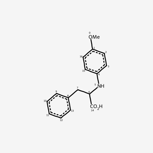 COc1ccc(NC(Cc2ccccc2)C(=O)O)cc1